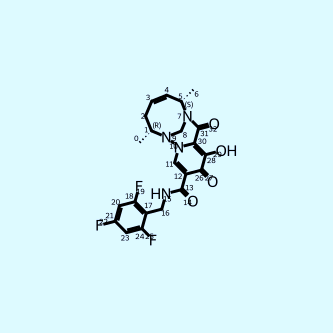 C[C@@H]1CC=C[C@H](C)N2CN1n1cc(C(=O)NCc3c(F)cc(F)cc3F)c(=O)c(O)c1C2=O